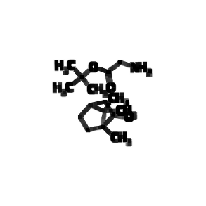 CC(C)(C)OC(=O)CN.CC12CCC(CC1=O)C2(C)C